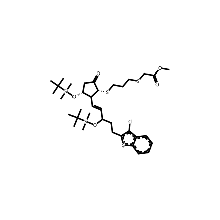 COC(=O)CSCCCS[C@H]1C(=O)C[C@@H](O[Si](C)(C)C(C)(C)C)C1C=CC(CCc1sc2ccccc2c1Cl)O[Si](C)(C)C(C)(C)C